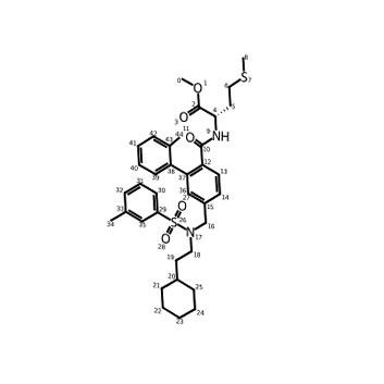 COC(=O)[C@H](CCSC)NC(=O)c1ccc(CN(CCC2CCCCC2)S(=O)(=O)c2cccc(C)c2)cc1-c1ccccc1C